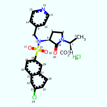 C[C@@H](C(=O)O)N1CC[C@H](N(Cc2ccncc2)S(=O)(=O)c2ccc3cc(Cl)ccc3c2)C1=O.Cl